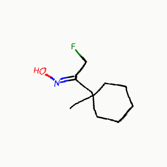 CC1(C(CF)=NO)CCCCC1